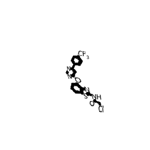 O=C(CCl)Nc1nc2c(Oc3cc(-c4ccc(C(F)(F)F)cc4)ncn3)cccc2s1